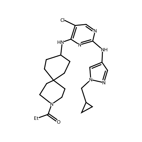 CCC(=O)N1CCC2(CCC(Nc3nc(Nc4cnn(CC5CC5)c4)ncc3Cl)CC2)CC1